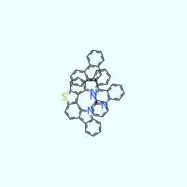 c1ccc(-n2c3ccccc3c3ccc4sc5ccc6c7ccccc7n(-c7nc(-c8cc9ccccc9c9ccccc89)c8ccccc8n7)c6c5c4c32)cc1